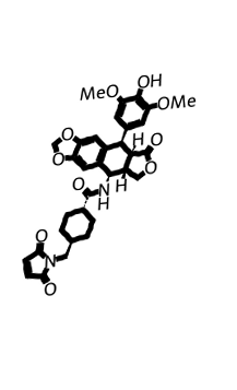 COc1cc([C@@H]2c3cc4c(cc3[C@@H](NC(=O)[C@H]3CC[C@H](CN5C(=O)C=CC5=O)CC3)[C@H]3COC(=O)[C@H]23)OCO4)cc(OC)c1O